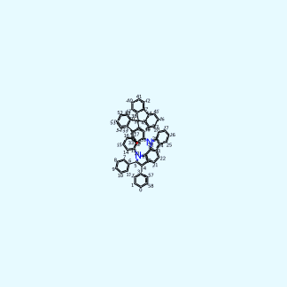 c1ccc(-c2c(-c3ccccc3)n(-c3ccccc3)c3c2ccc2c4ccccc4n(-c4ccc5c(c4)C4(c6ccccc6-c6ccccc64)c4ccccc4-5)c23)cc1